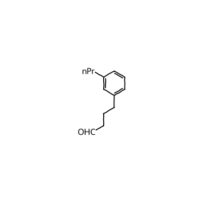 CCCc1cccc(CCCC=O)c1